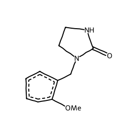 COc1ccccc1CN1CCNC1=O